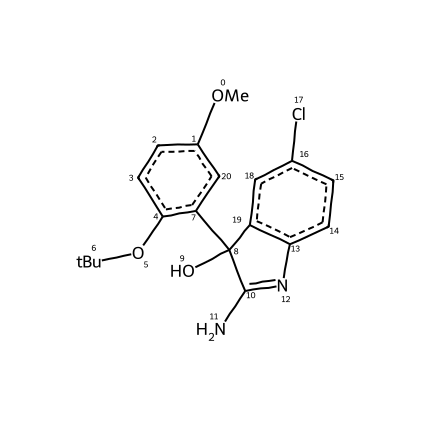 COc1ccc(OC(C)(C)C)c(C2(O)C(N)=Nc3ccc(Cl)cc32)c1